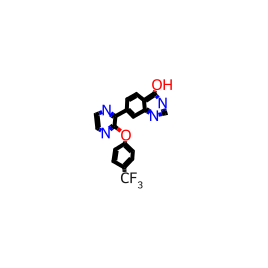 Oc1ncnc2cc(-c3nccnc3Oc3ccc(C(F)(F)F)cc3)ccc12